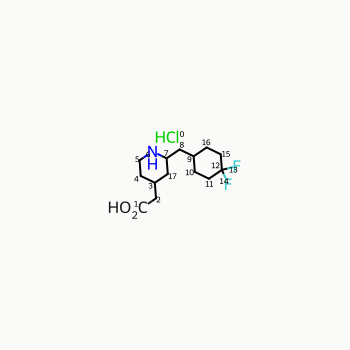 Cl.O=C(O)CC1CCNC(CC2CCC(F)(F)CC2)C1